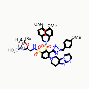 COc1ccc(CN(Cc2ccc(OC)cc2)S(=O)(=O)c2c(S(=O)(=O)NC[C@@H](CNC(=O)O)O[Si](C)(C)C(C)(C)C)ccc(N3CCc4nc5ncccn5c4C3)c2-c2nnn(Cc3ccc(OC)cc3)n2)cc1